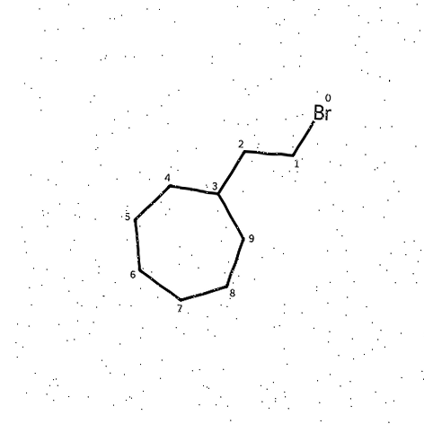 BrCCC1CCCCCC1